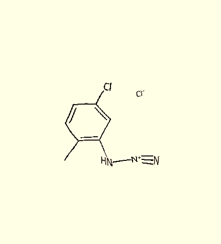 Cc1ccc(Cl)cc1N[N+]#N.[Cl-]